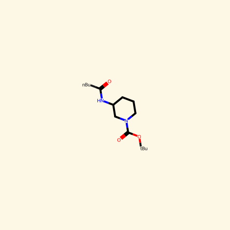 CCCCC(=O)NC1CCCN(C(=O)OC(C)(C)C)C1